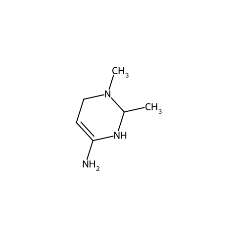 CC1NC(N)=CCN1C